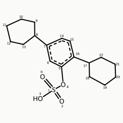 O=S(=O)(O)Oc1cc(C2CCCCC2)ccc1C1CCCCC1